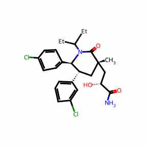 CCC(CC)N1C(=O)[C@](C)(C[C@@H](O)C(N)=O)C[C@H](c2cccc(Cl)c2)[C@H]1c1ccc(Cl)cc1